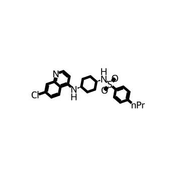 CCCc1ccc(S(=O)(=O)N[C@H]2CC[C@@H](Nc3ccnc4cc(Cl)ccc34)CC2)cc1